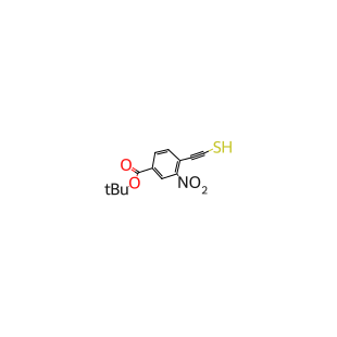 CC(C)(C)OC(=O)c1ccc(C#CS)c([N+](=O)[O-])c1